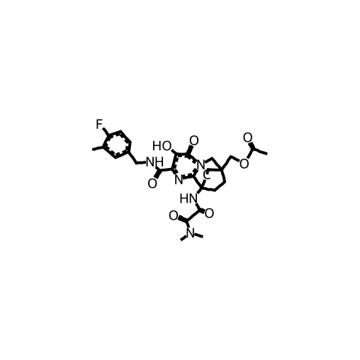 CC(=O)OCC12CCC(NC(=O)C(=O)N(C)C)(CC1)c1nc(C(=O)NCc3ccc(F)c(C)c3)c(O)c(=O)n1C2